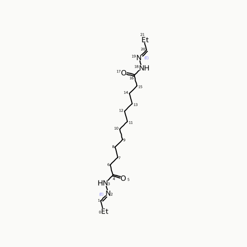 CC/C=N/NC(=O)CCCCCCCCCCC(=O)N/N=C/CC